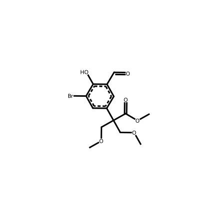 COCC(COC)(C(=O)OC)c1cc(Br)c(O)c(C=O)c1